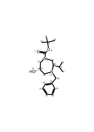 CC(C)[C@@H]1CN(C(=O)OC(C)(C)C)C[C@@H](O)CN1Cc1ccccc1